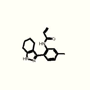 C=CC(=O)Nc1cc(C)ccc1-c1n[nH]c2c1CCCC2